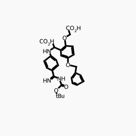 CC(C)(C)OC(=O)NC(=N)c1ccc(NC(C(=O)O)c2cc(OCc3ccccc3)ccc2OCC(=O)O)cc1